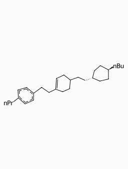 CCCC[C@H]1CC[C@H](CCC2CC=C(CCc3ccc(CCC)cc3)CC2)CC1